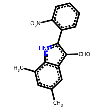 Cc1cc(C)c2[nH]c(-c3ccccc3[N+](=O)[O-])c(C=O)c2c1